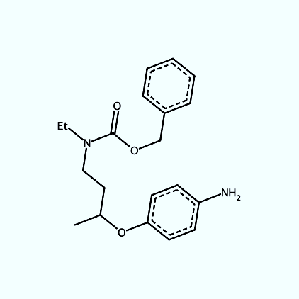 CCN(CCC(C)Oc1ccc(N)cc1)C(=O)OCc1ccccc1